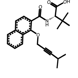 CC(C)C#CCOc1c(C(=O)N[C@H](C(=O)O)C(C)(C)C)ccc2ccccc12